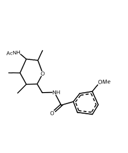 COc1cccc(C(=O)NCC2OC(C)C(NC(C)=O)C(C)C2C)c1